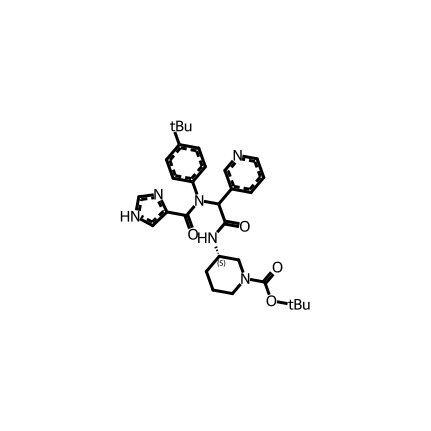 CC(C)(C)OC(=O)N1CCC[C@H](NC(=O)C(c2cccnc2)N(C(=O)c2c[nH]cn2)c2ccc(C(C)(C)C)cc2)C1